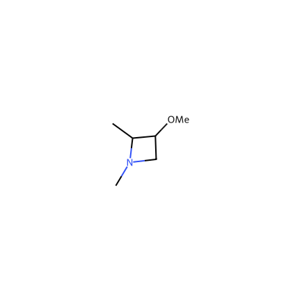 COC1CN(C)C1C